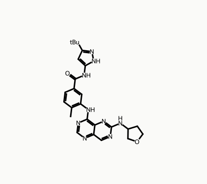 Cc1ccc(C(=O)Nc2cc(C(C)(C)C)n[nH]2)cc1Nc1ncnc2cnc(NC3CCOC3)nc12